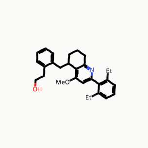 CCc1cccc(CC)c1-c1cc(OC)c2c(n1)CCCC2Cc1ccccc1CCO